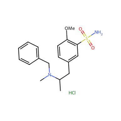 COc1ccc(CC(C)N(C)Cc2ccccc2)cc1S(N)(=O)=O.Cl